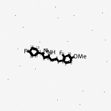 COc1ccc(CC=Cc2cc(-c3ccc(F)cc3)n[nH]2)c(F)c1